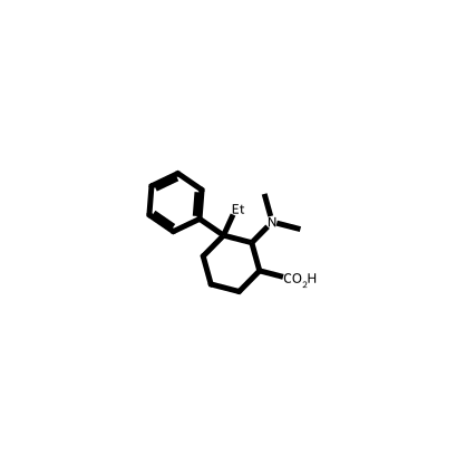 CCC1(c2ccccc2)CCCC(C(=O)O)C1N(C)C